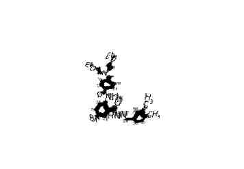 CCOCCN(CCOCC)Cc1ccc(C(=O)Nc2ccc(Br)cc2C(=O)N/N=C/c2ccc(C)c(C)c2)cc1